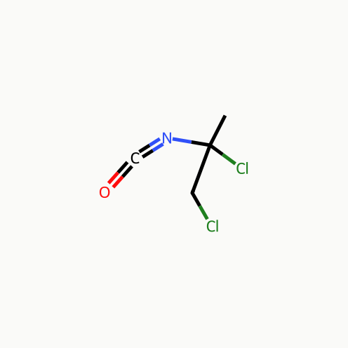 CC(Cl)(CCl)N=C=O